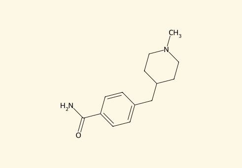 CN1CCC(Cc2ccc(C(N)=O)cc2)CC1